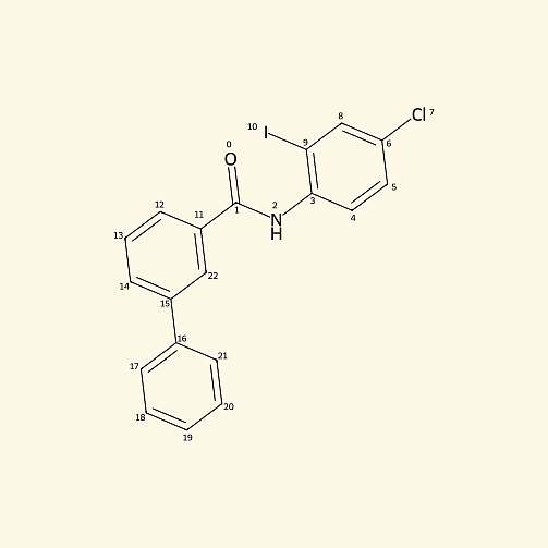 O=C(Nc1ccc(Cl)cc1I)c1cccc(-c2ccccc2)c1